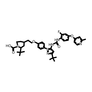 Cc1cc(Oc2ccc(NC(=O)Nc3cc(C(C)(C)C)nn3-c3ccc(OCCC4CCN(C(=O)O)C(C(C)(C)C)C4)cc3)c(F)c2)ccn1